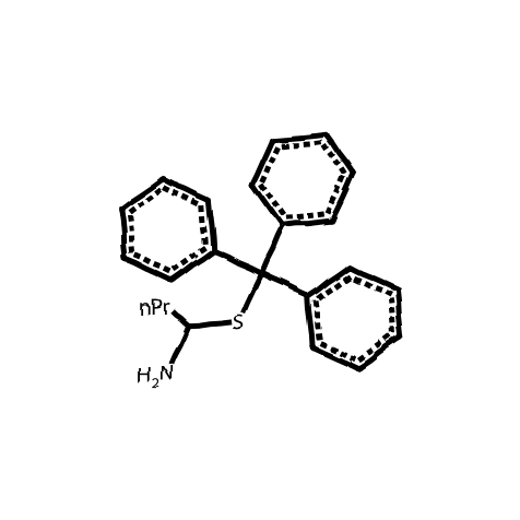 CCCC(N)SC(c1ccccc1)(c1ccccc1)c1ccccc1